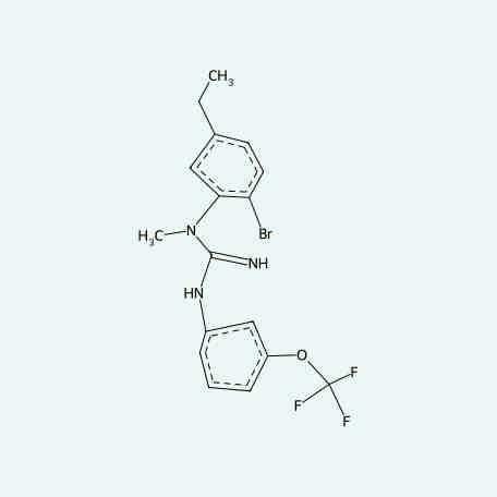 CCc1ccc(Br)c(N(C)C(=N)Nc2cccc(OC(F)(F)F)c2)c1